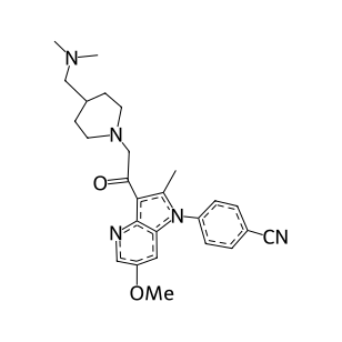 COc1cnc2c(C(=O)CN3CCC(CN(C)C)CC3)c(C)n(-c3ccc(C#N)cc3)c2c1